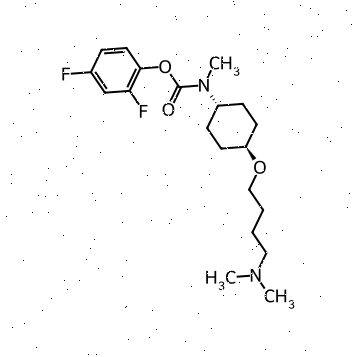 CN(C)CCCCO[C@H]1CC[C@H](N(C)C(=O)Oc2ccc(F)cc2F)CC1